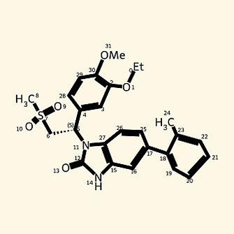 CCOc1cc([C@@H](CS(C)(=O)=O)n2c(=O)[nH]c3cc(-c4ccccc4C)ccc32)ccc1OC